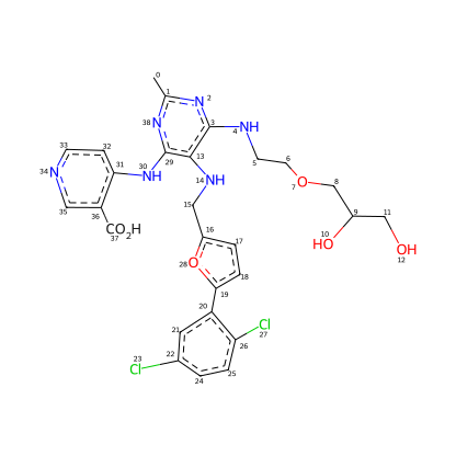 Cc1nc(NCCOCC(O)CO)c(NCc2ccc(-c3cc(Cl)ccc3Cl)o2)c(Nc2ccncc2C(=O)O)n1